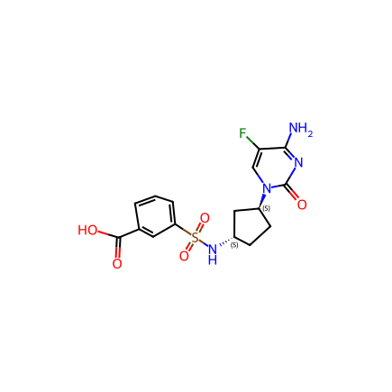 Nc1nc(=O)n([C@H]2CC[C@H](NS(=O)(=O)c3cccc(C(=O)O)c3)C2)cc1F